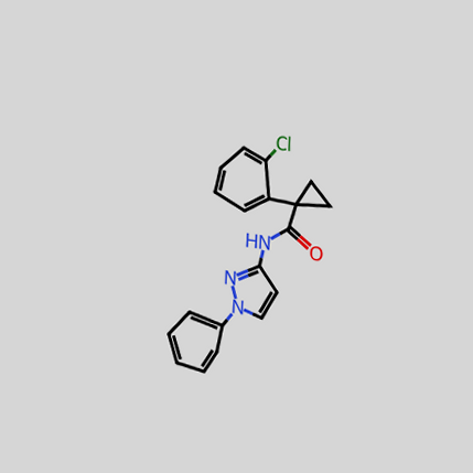 O=C(Nc1ccn(-c2ccccc2)n1)C1(c2ccccc2Cl)CC1